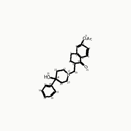 CC(=O)Oc1ccc2c(c1)CCC(CN1CCC(O)(c3ccccc3)CC1)C2=O